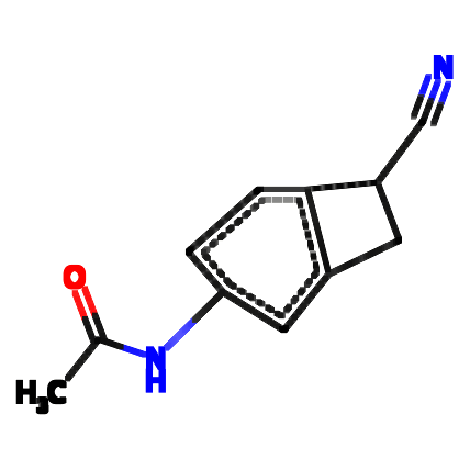 CC(=O)Nc1ccc2c(c1)CC2C#N